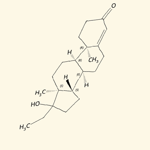 CCC1(O)CC[C@H]2[C@@H]3CCC4=CC(=O)CC[C@]4(C)[C@@H]3CC[C@@]21C